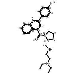 CCN(CC)CCNC[C@H]1CCCN1C(=O)c1cc(-c2ccc(F)cc2)nc2ccccc12